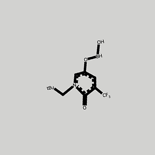 CC(C)(C)Cn1cc(OBO)cc(C(F)(F)F)c1=O